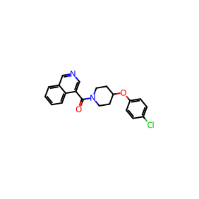 O=C(c1cncc2ccccc12)N1CCC(Oc2ccc(Cl)cc2)CC1